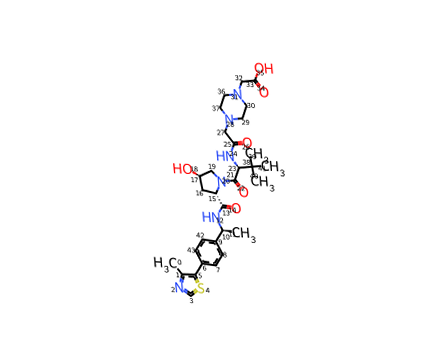 Cc1ncsc1-c1ccc([C@H](C)NC(=O)[C@@H]2C[C@@H](O)CN2C(=O)[C@@H](NC(=O)CN2CCN(CC(=O)O)CC2)C(C)(C)C)cc1